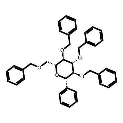 c1ccc(COC[C@H]2O[C@@H](c3ccccc3)[C@H](OCc3ccccc3)[C@@H](OCc3ccccc3)[C@@H]2OCc2ccccc2)cc1